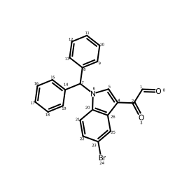 O=CC(=O)c1cn(C(c2ccccc2)c2ccccc2)c2ccc(Br)cc12